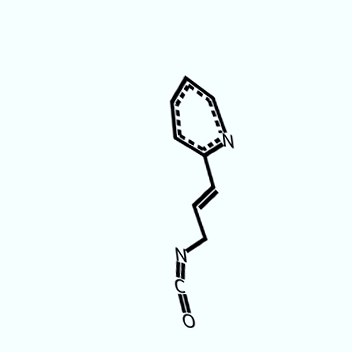 O=C=NCC=Cc1ccccn1